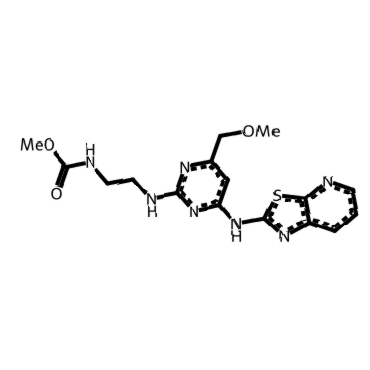 COCc1cc(Nc2nc3cccnc3s2)nc(NCCNC(=O)OC)n1